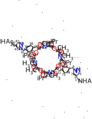 CC(=O)NCc1cnn(Cc2ccc(C[C@H]3OC(=O)[C@H](CC(C)C)N(C)C(=O)[C@@H](C)OC(=O)[C@H](CC(C)C)N(C)C(=O)[C@@H](Cc4ccc(Cn5cc(CNC(C)=O)cn5)cc4)OC(=O)[C@H](CC(C)C)N(C)C(=O)[C@@H](C)OC(=O)[C@H](CC(C)C)N(C)C3=O)cc2)c1